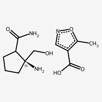 Cc1oncc1C(=O)O.NC(=O)C1CCC[C@@]1(N)CO